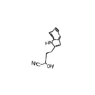 N#CC(O)CCc1cc2ccccc2[nH]1